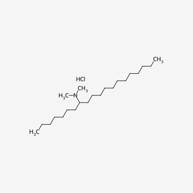 CCCCCCCCCCCCC(CCCCCCC)N(C)C.Cl